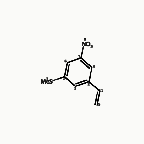 C=[C]c1cc(SC)cc([N+](=O)[O-])c1